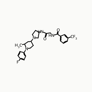 CC1CC(N2CC[C@@H](NC(=O)CNC(=O)c3cccc(C(F)(F)F)c3)C2)CCN1c1ccc(F)cc1